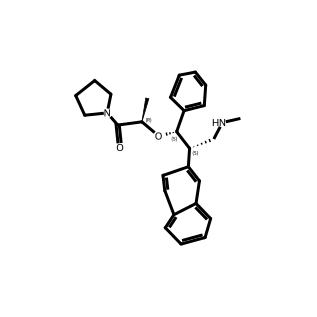 CNC[C@H](c1ccc2ccccc2c1)[C@H](O[C@H](C)C(=O)N1CCCC1)c1ccccc1